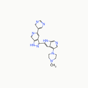 CN1CCN(c2cncc3[nH]c(-c4n[nH]c5cnc(-c6cncnc6)cc45)cc23)CC1